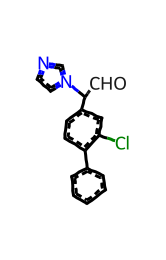 O=CC(c1ccc(-c2ccccc2)c(Cl)c1)n1ccnc1